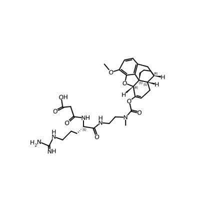 COc1ccc2c3c1O[C@H]1C(OC(=O)N(C)CCNC(=O)[C@H](CCCNC(=N)N)NC(=O)CC(=O)O)=CC[C@H]4[C@H](CCC[C@]314)C2